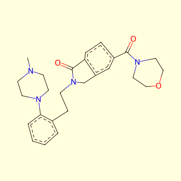 CN1CCN(c2ccccc2CCN2Cc3cc(C(=O)N4CCOCC4)ccc3C2=O)CC1